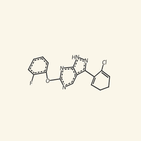 Fc1ccccc1Oc1ncc2c(C3=CCCC=C3Cl)n[nH]c2n1